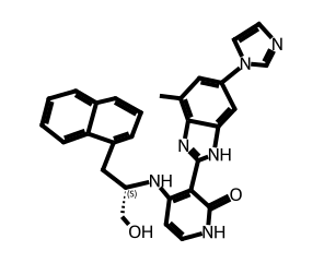 Cc1cc(-n2ccnc2)cc2[nH]c(-c3c(N[C@H](CO)Cc4cccc5ccccc45)cc[nH]c3=O)nc12